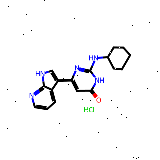 Cl.O=c1cc(-c2c[nH]c3ncccc23)nc(NC2CCCCC2)[nH]1